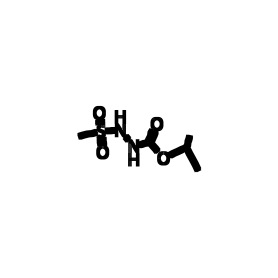 CC(C)OC(=O)NNS(C)(=O)=O